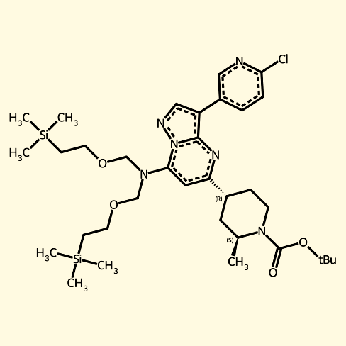 C[C@H]1C[C@H](c2cc(N(COCC[Si](C)(C)C)COCC[Si](C)(C)C)n3ncc(-c4ccc(Cl)nc4)c3n2)CCN1C(=O)OC(C)(C)C